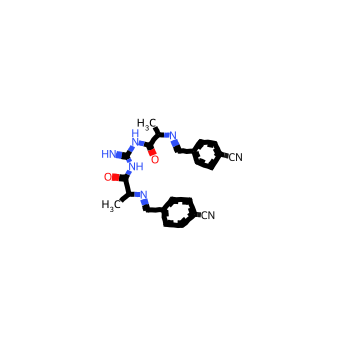 CC(N=Cc1ccc(C#N)cc1)C(=O)NC(=N)NC(=O)C(C)N=Cc1ccc(C#N)cc1